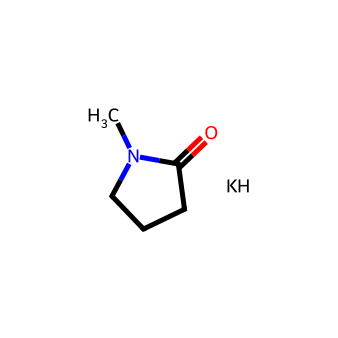 CN1CCCC1=O.[KH]